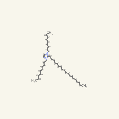 CCCCCCCCCCCCCCCCCCCC1N(CCCCCCCCC)C=CN1CCCCCCCCCC